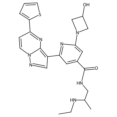 CCNC(C)CNC(=O)c1cc(-c2cnn3ccc(-c4cccs4)nc23)nc(N2CC(O)C2)c1